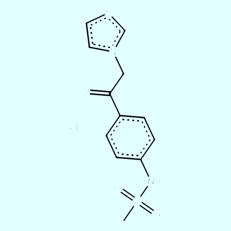 CS(=O)(=O)Nc1ccc(C(=O)C[n+]2ccsc2)cc1.[Cl-]